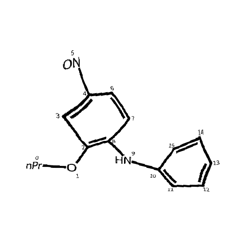 CCCOc1cc(N=O)ccc1Nc1ccccc1